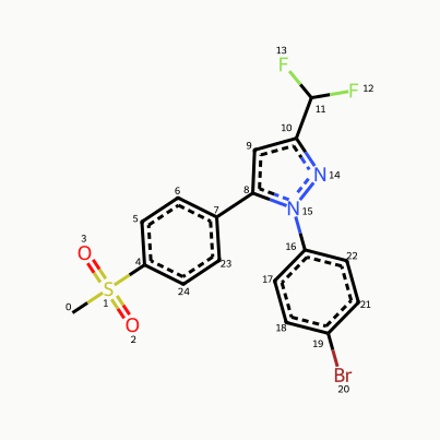 CS(=O)(=O)c1ccc(-c2cc(C(F)F)nn2-c2ccc(Br)cc2)cc1